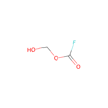 O=C(F)OCO